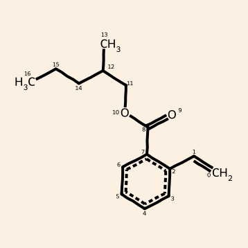 C=Cc1ccccc1C(=O)OCC(C)CCC